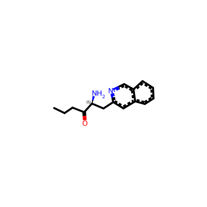 CCCC(=O)[C@@H](N)Cc1cc2ccccc2cn1